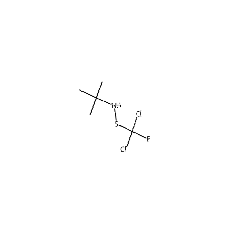 CC(C)(C)NSC(F)(Cl)Cl